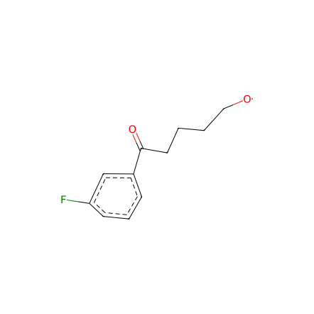 [O]CCCCC(=O)c1cccc(F)c1